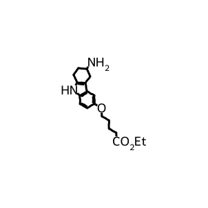 CCOC(=O)CCCCOc1ccc2[nH]c3c(c2c1)CC(N)CC3